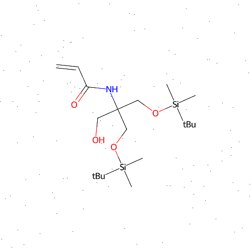 C=CC(=O)NC(CO)(CO[Si](C)(C)C(C)(C)C)CO[Si](C)(C)C(C)(C)C